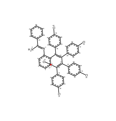 N/C(=N\c1ccccc1/C(=C(\C(=[C](/[Pd][Cl])c1ccc(Cl)cc1)c1ccc(Cl)cc1)c1ccc(Cl)cc1)c1ccc(Cl)cc1)c1ccccc1